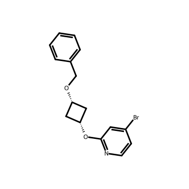 Brc1ccnc(O[C@H]2C[C@@H](OCc3ccccc3)C2)c1